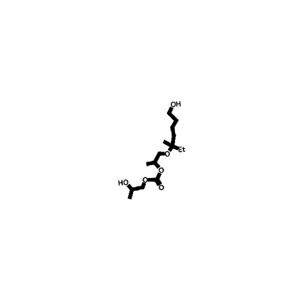 CCC(C)(CCCCO)OCC(C)OC(=O)OCC(C)O